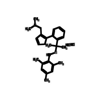 Cc1cc(C)c([NH][Ti][C](C)(C)c2ccccc2C2=C(CN(C)C)C=CC2)c(C)c1.Cl.Cl